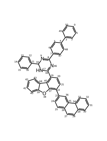 c1ccc(-c2ccc(C3=NC(c4ccccc4)NC(c4ccc(-c5ccc6ccc7ccccc7c6c5)c5oc6ccccc6c45)=N3)cc2)cc1